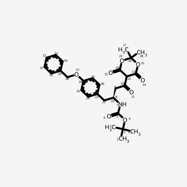 CC(C)(C)OC(=O)N[C@H](CC(=O)C1C(=O)OC(C)(C)OC1=O)Cc1ccc(OCc2ccccc2)cc1